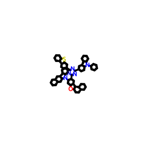 c1ccc(-n2c3ccccc3c3cc(-c4nc(-c5ccc6c(c5)sc5ccccc56)nc(-c5cc6c(cc5-n5c7ccccc7c7cc8ccccc8cc75)oc5ccc7ccccc7c56)n4)ccc32)cc1